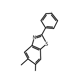 Cc1cc2nc(-c3cc[c]cc3)sc2cc1C